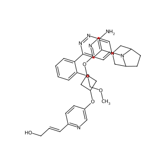 COCOc1ccccc1-c1cc(N2CC3CCC(C2)N3c2ccnc(OC3CC(Oc4ccc(C=CCO)nc4)C3)c2)c(N)nn1